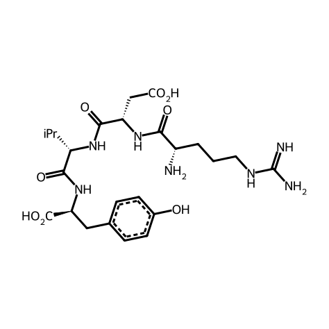 CC(C)[C@H](NC(=O)[C@H](CC(=O)O)NC(=O)[C@@H](N)CCCNC(=N)N)C(=O)N[C@@H](Cc1ccc(O)cc1)C(=O)O